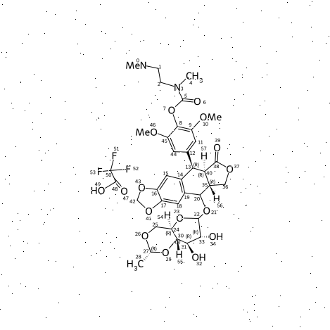 CNCCN(C)C(=O)Oc1c(OC)cc([C@@H]2c3cc4c(cc3C(OC3O[C@@H]5CO[C@@H](C)O[C@H]5[C@H](O)[C@H]3O)[C@H]3COC(=O)[C@H]23)OCO4)cc1OC.O=C(O)C(F)(F)F